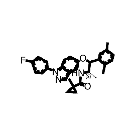 Cc1ccc(C)c(C(Oc2ccc3c(cnn3-c3ccc(F)cc3)c2)[C@H](C)NC(=O)C2(C)CC2)c1